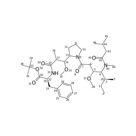 CC[C@H](C)C(C(CC(=O)N1CCCC1C(OC)C(C)C(=O)N[C@@H](Cc1ccccc1)C(=O)OC(C)(C)C)OC)N(C)C(=O)CC(C)C